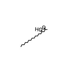 CCCCCCCCCCCCCC(O)CC(C)=O